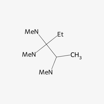 CCC(NC)(NC)C(C)NC